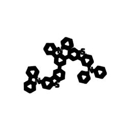 c1ccc(N(c2ccccc2)c2ccc3sc4ccc(-c5cc(-c6ccc7sc8ccc(-n9c%10ccccc%10c%10ccccc%109)cc8c7c6)cc6c7ccccc7n(-c7ccccc7)c56)cc4c3c2)cc1